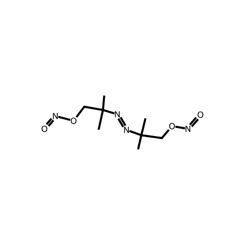 CC(C)(CON=O)N=NC(C)(C)CON=O